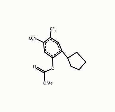 COC(=O)Oc1cc([N+](=O)[O-])c(C(F)(F)F)cc1C1CCCC1